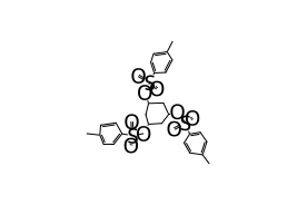 Cc1ccc(S(=O)(=O)OC2CC(OS(=O)(=O)c3ccc(C)cc3)CC(OS(=O)(=O)c3ccc(C)cc3)C2)cc1